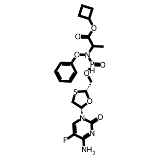 CC(C(=O)OC1CCC1)N(Oc1ccccc1)[PH](=O)OC[C@@H]1O[C@H](n2cc(F)c(N)nc2=O)CS1